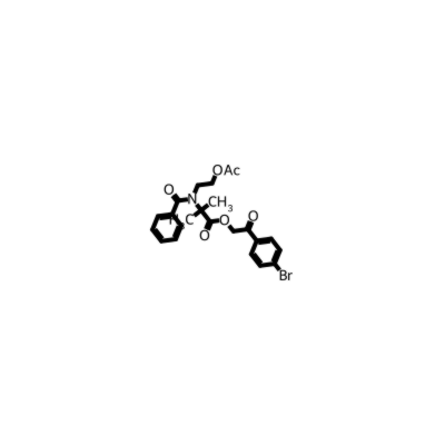 CC(=O)OCCN(C(=O)c1ccccc1)C(C)(C)C(=O)OCC(=O)c1ccc(Br)cc1